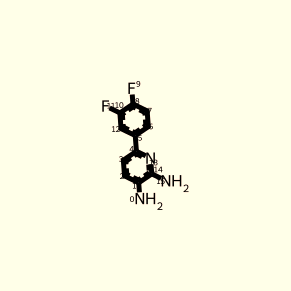 Nc1ccc(-c2ccc(F)c(F)c2)nc1N